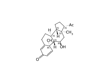 CC(=O)[C@H]1CC[C@H]2[C@@H]3CCC4=CC(=O)C=C[C@]4(C)[C@H]3[C@H](O)C[C@]12C